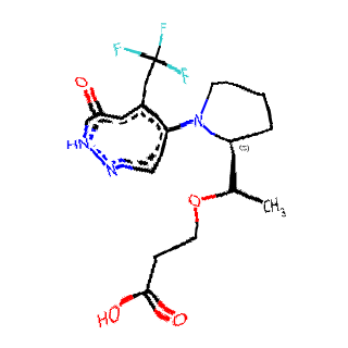 CC(OCCC(=O)O)[C@@H]1CCCN1c1cn[nH]c(=O)c1C(F)(F)F